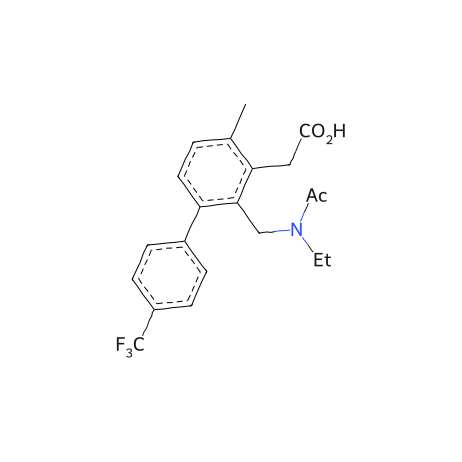 CCN(Cc1c(-c2ccc(C(F)(F)F)cc2)ccc(C)c1CC(=O)O)C(C)=O